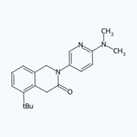 CN(C)c1ccc(N2Cc3cccc(C(C)(C)C)c3CC2=O)cn1